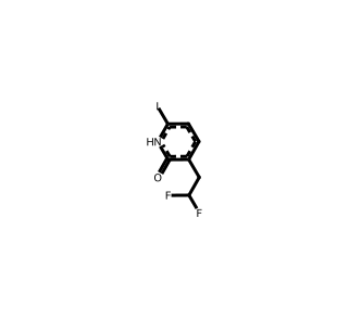 O=c1[nH]c(I)ccc1CC(F)F